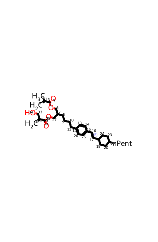 C=C(C)C(=O)OCC(CCCCc1ccc(/C=C/C2CCC(CCCCC)CC2)cc1)COC(=O)C(=C)CO